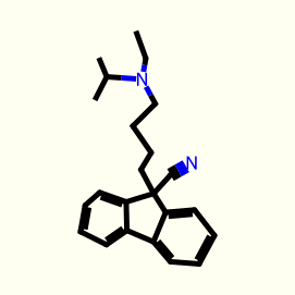 CCN(CCCCC1(C#N)c2ccccc2-c2ccccc21)C(C)C